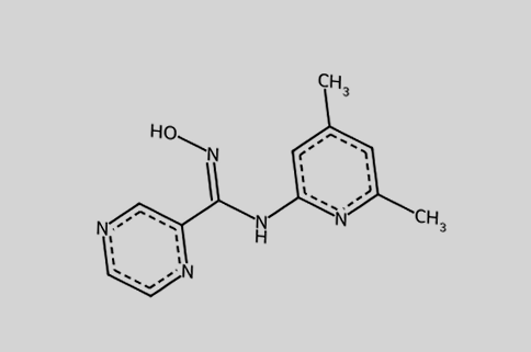 Cc1cc(C)nc(NC(=NO)c2cnccn2)c1